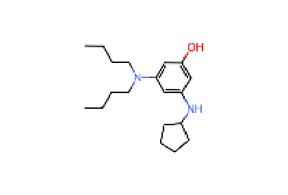 CCCCN(CCCC)c1cc(O)cc(NC2CCCC2)c1